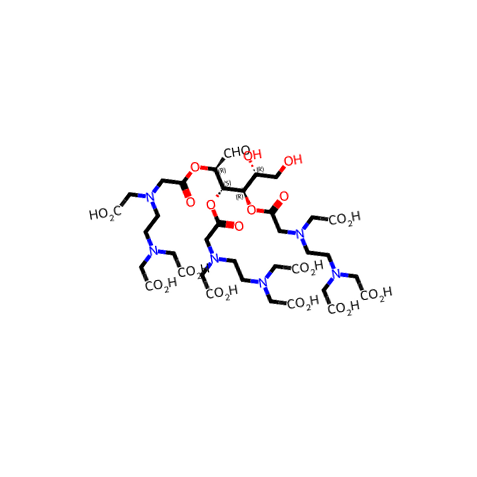 O=C[C@H](OC(=O)CN(CCN(CC(=O)O)CC(=O)O)CC(=O)O)[C@@H](OC(=O)CN(CCN(CC(=O)O)CC(=O)O)CC(=O)O)[C@H](OC(=O)CN(CCN(CC(=O)O)CC(=O)O)CC(=O)O)[C@H](O)CO